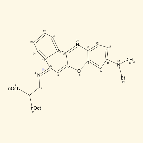 CCCCCCCCC(CCCCCCCC)C/N=c1\cc2oc3cc(N(C)CC)ccc3nc-2c2ccccc12